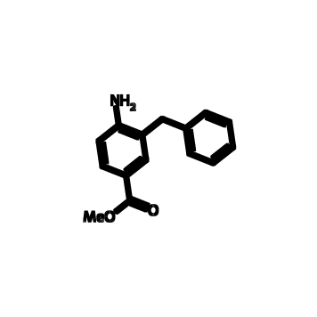 COC(=O)c1ccc(N)c(Cc2ccccc2)c1